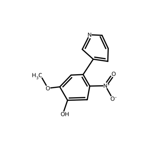 COc1cc(-c2cccnc2)c([N+](=O)[O-])cc1O